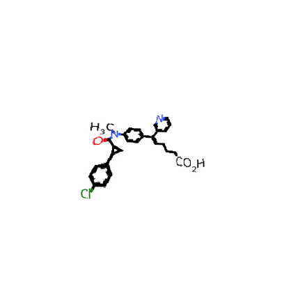 CN(C(=O)C1CC1c1ccc(Cl)cc1)c1ccc(C(=CCCCC(=O)O)c2cccnc2)cc1